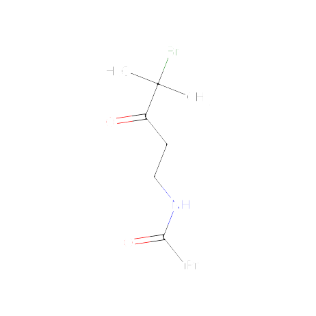 CC(C)C(=O)NCCC(=O)C(C)(C)Br